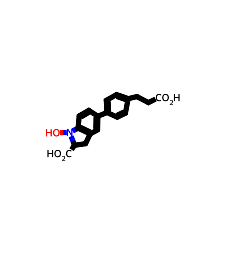 O=C(O)CCc1ccc(-c2ccc3c(c2)CC(C(=O)O)N3O)cc1